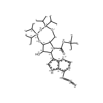 CC(C)[Si]1(C(C)C)OCC2C(O[Si](C(C)C)(C(C)C)O1)C(O)C(c1c[nH]c3c(N=[N+]=[N-])ncnc13)N2C(=O)OC(C)(C)C